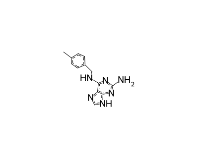 Cc1ccc(CNc2nc(N)nc3[nH]cnc23)cc1